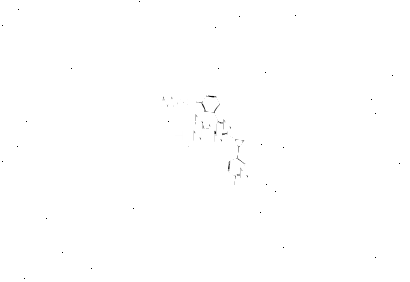 COc1cccc2c1nc(N)n1nc(C3CC3c3ccc(C)nc3)nc21